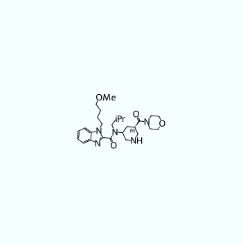 COCCCCn1c(C(=O)N(CC(C)C)C2CNC[C@H](C(=O)N3CCOCC3)C2)nc2ccccc21